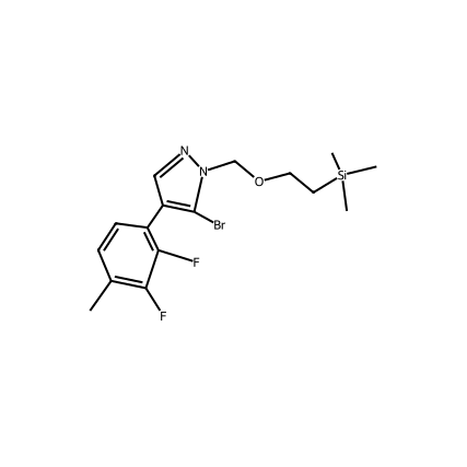 Cc1ccc(-c2cnn(COCC[Si](C)(C)C)c2Br)c(F)c1F